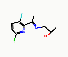 C/C(=N\CC(C)O)c1nc(Cl)ccc1F